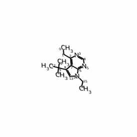 CCc1ncnc2c1c(C(C)(C)C)cn2CC